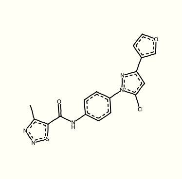 Cc1nnsc1C(=O)Nc1ccc(-n2nc(-c3ccoc3)cc2Cl)cc1